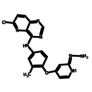 Cc1cc(Nc2ncnc3ccc(Cl)nc23)ccc1Oc1cc[nH]/c(=N\N)c1